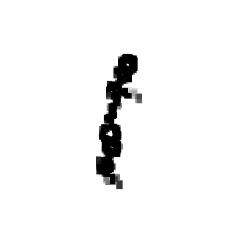 Cc1cc(-c2ccc3c(c2)CCN(CCCSc2nnc(-c4cc5ccccc5s4)n2C)CC3)no1